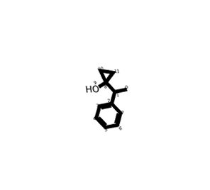 CC(c1ccccc1)C1(O)CC1